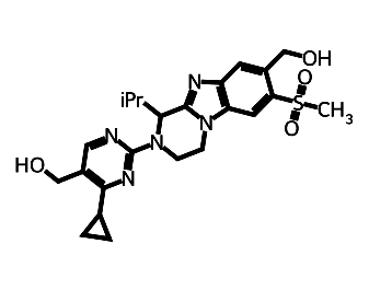 CC(C)C1c2nc3cc(CO)c(S(C)(=O)=O)cc3n2CCN1c1ncc(CO)c(C2CC2)n1